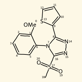 COc1ccccc1-n1c(-c2cccs2)nnc1S(C)(=O)=O